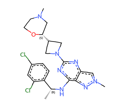 C[C@@H](Nc1nc(N2CC([C@H]3CN(C)CCO3)C2)nc2cn(C)nc12)c1ccc(Cl)cc1Cl